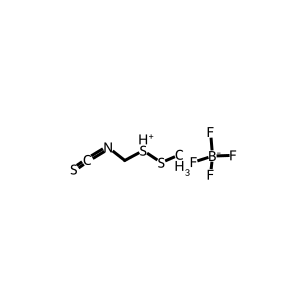 CS[SH+]CN=C=S.F[B-](F)(F)F